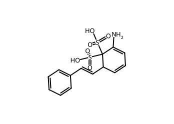 NC1=CC=CC(C=Cc2ccccc2)C1(S(=O)(=O)O)S(=O)(=O)O